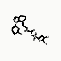 O=C(NC/C=C1\CCCc2cnn(-c3cccc(Br)c3)c21)NS(=O)(=O)c1cc(Cl)c(Cl)s1